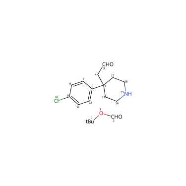 CC(C)(C)OC=O.O=CCC1(c2ccc(Cl)cc2)CCNCC1